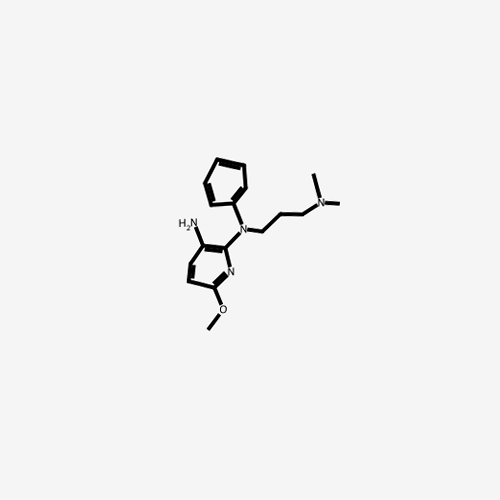 COc1ccc(N)c(N(CCCN(C)C)c2ccccc2)n1